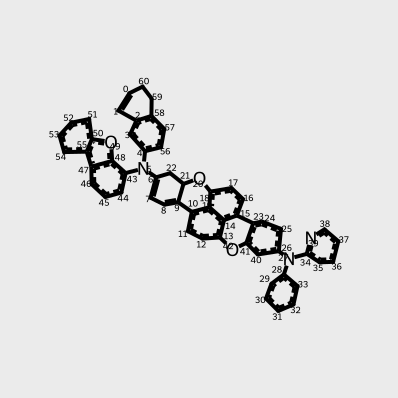 C1=Cc2cc(N(C3=CC=C4c5ccc6c7c(ccc(c57)OC4C3)-c3ccc(N(c4ccccc4)c4ccccn4)cc3O6)c3cccc4c3oc3ccccc34)ccc2CC1